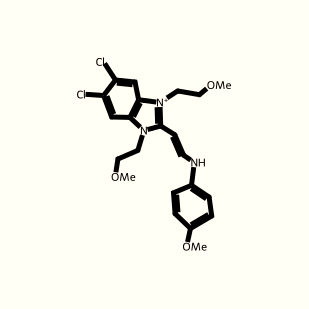 COCCn1c(C=CNc2ccc(OC)cc2)[n+](CCOC)c2cc(Cl)c(Cl)cc21